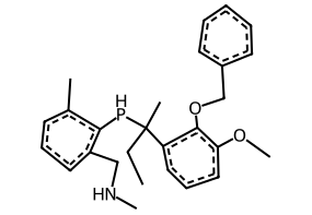 CCC(C)(Pc1c(C)cccc1CNC)c1cccc(OC)c1OCc1ccccc1